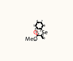 C=C([Se]c1ccccc1)C(=O)OC